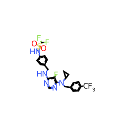 O=S(=O)(Nc1ccc(CNc2ncnc(N(Cc3ccc(C(F)(F)F)cc3)C3CC3)c2F)cc1)C(F)F